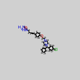 NONCCC#Cc1ccc(OCCN2CCN([C@H](c3ccccc3)c3ccc(Cl)cc3)CC2)cc1